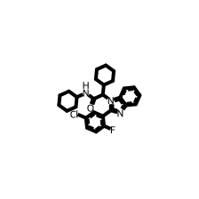 O=C(NC1CCCCC1)C(C1CCCCC1)n1c(-c2cc(Cl)ccc2F)nc2ccccc21